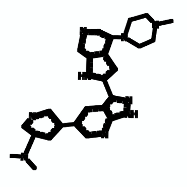 CN1CCN(c2cncc3[nH]c(-c4n[nH]c5ncc(-c6cncc(N(C)C)c6)cc45)cc23)CC1